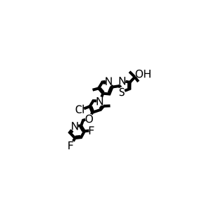 CC1=CC(OCc2ncc(F)cc2F)=C(Cl)CN1c1cc(-c2nc(C(C)(C)O)cs2)ncc1C